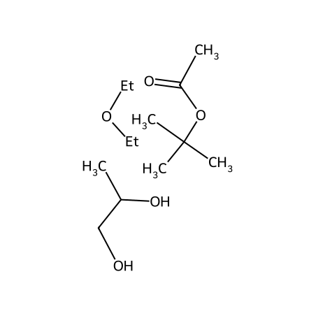 CC(=O)OC(C)(C)C.CC(O)CO.CCOCC